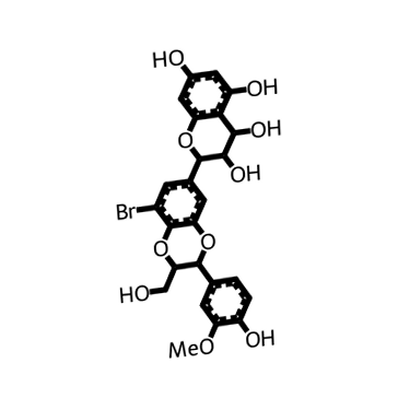 COc1cc(C2Oc3cc(C4Oc5cc(O)cc(O)c5C(O)C4O)cc(Br)c3OC2CO)ccc1O